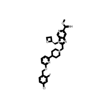 COC(=N)c1cc2nc(CN3CCC(c4cccc(OCc5ccc(Cl)cc5F)n4)CC3)n(C[C@@H]3CCO3)c2cn1